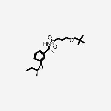 CC[C@H](C)Oc1cccc([C@@H](C)NS(=O)(=O)CCCOCC(C)(C)C)c1